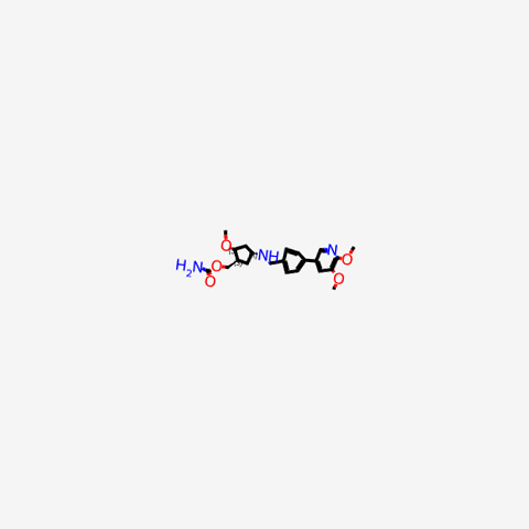 COc1cc(-c2ccc(CN[C@@H]3C[C@@H](COC(N)=O)[C@@H](OC)C3)cc2)cnc1OC